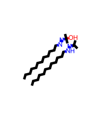 CCCCCCCCCCCCN=NC(C)(C)O.CCCCCCCCCCCCNN=C(C)C